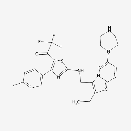 CCc1nc2ccc(N3CCNCC3)nn2c1CNc1nc(-c2ccc(F)cc2)c(C(=O)C(F)(F)F)s1